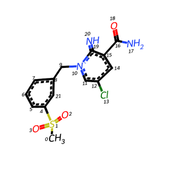 CS(=O)(=O)c1cccc(Cn2cc(Cl)cc(C(N)=O)c2=N)c1